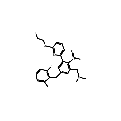 CN(C)Cc1[c]c(Cc2c(F)cccc2F)cc(-c2cccc(OCCF)n2)c1[N+](=O)[O-]